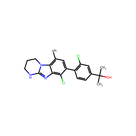 CCCc1cc(-c2ccc(C(C)(C)O)cc2Cl)c(Cl)c2nc3n(c12)CCCN3